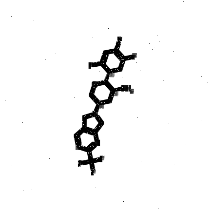 N[C@H]1C[C@@H](N2Cc3cnc(C(F)(F)F)nc3C2)COC1[C@H]1CC(F)=C(F)C=C1F